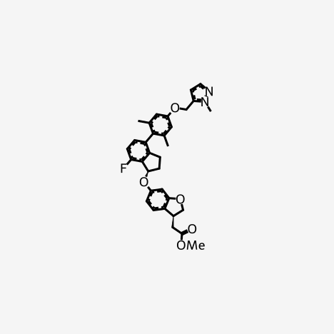 COC(=O)C[C@@H]1COc2cc(O[C@@H]3CCc4c(-c5c(C)cc(OCc6ccnn6C)cc5C)ccc(F)c43)ccc21